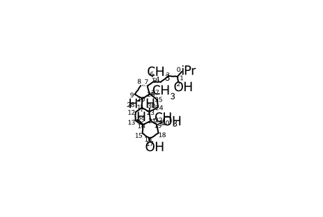 CC(C)C(O)CC[C@@H](C)[C@H]1CC[C@H]2[C@@H]3CC=C4CC(O)C[C@H](O)[C@]4(C)[C@H]3CC[C@]12C